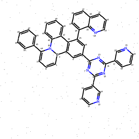 C1=CB2c3cc(-c4nc(-c5cccnc5)nc(-c5cccnc5)n4)cc(-c4cccc5cccnc45)c3-c3ccccc3N2C(c2ccccc2)=C1